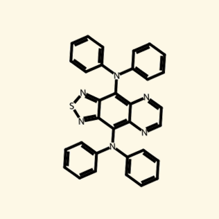 c1ccc(N(c2ccccc2)c2c3nccnc3c(N(c3ccccc3)c3ccccc3)c3nsnc23)cc1